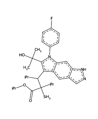 CC(C)OC(=O)C([SiH3])(C(C)C)C(c1c(C(C)(C)O)n(-c2ccc(F)cc2)c2cc3[nH]ncc3cc12)C(C)C